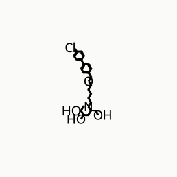 OC[C@H]1CC(O)[C@@H](O)CN1CCCCCOCc1ccc(-c2ccc(Cl)cc2)cc1